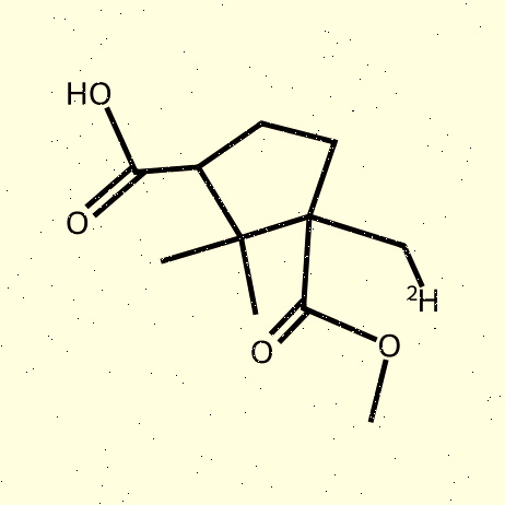 [2H]CC1(C(=O)OC)CCC(C(=O)O)C1(C)C